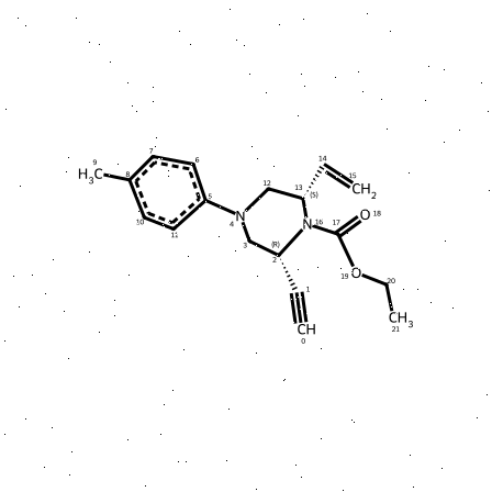 C#C[C@@H]1CN(c2ccc(C)cc2)C[C@H](C=C)N1C(=O)OCC